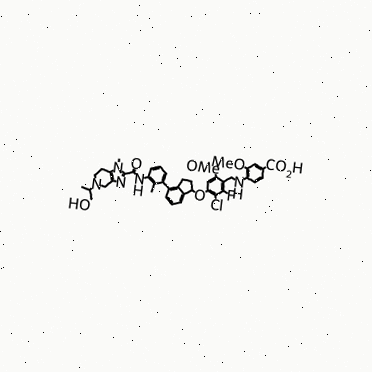 COc1cc(C(=O)O)ccc1NCc1c(OC)cc(OC2CCc3c(-c4cccc(NC(=O)c5nc6c(n5C)CCN(C(C)CO)C6)c4C)cccc32)c(Cl)c1F